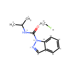 CC(C)NC(=O)n1ncc2ccccc21.CF